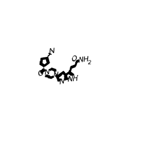 N#C[C@@H]1CC[C@@H](C(=O)N2CCN(c3cnc4[nH]cc(C=CC(N)=O)c4c3)CC2)C1